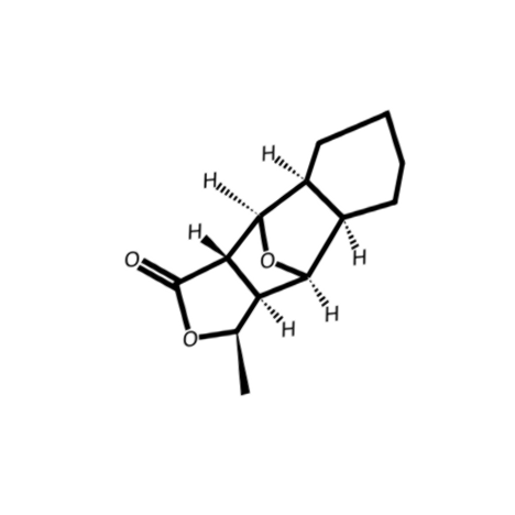 C[C@H]1OC(=O)[C@@H]2[C@@H]3O[C@@H]([C@@H]4CCCC[C@@H]43)[C@H]21